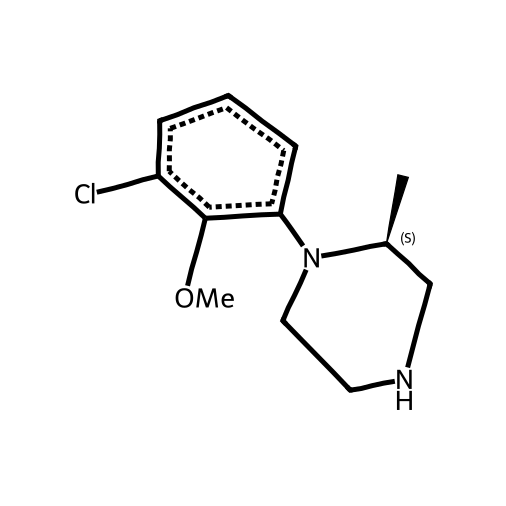 COc1c(Cl)cccc1N1CCNC[C@@H]1C